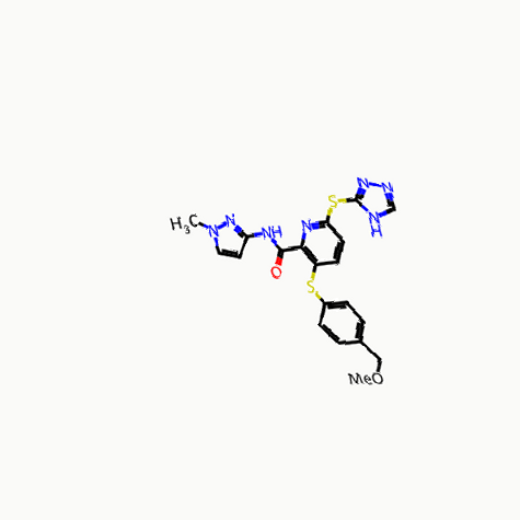 COCc1ccc(Sc2ccc(Sc3nnc[nH]3)nc2C(=O)Nc2ccn(C)n2)cc1